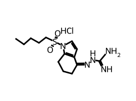 CCCCCS(=O)(=O)n1ccc2c1CCC/C2=N/NC(=N)N.Cl